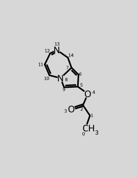 CCC(=O)Oc1cc2n(c1)C=CC=NC2